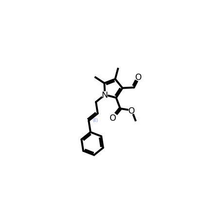 COC(=O)c1c(C=O)c(C)c(C)n1C/C=C/c1ccccc1